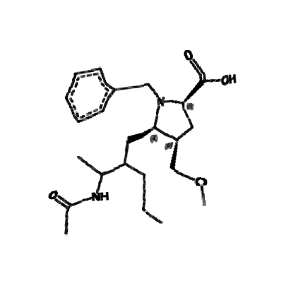 CCCC(C[C@@H]1[C@H](COC)C[C@H](C(=O)O)N1Cc1ccccc1)C(C)NC(C)=O